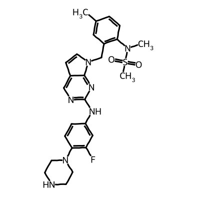 Cc1ccc(N(C)S(C)(=O)=O)c(Cn2ccc3cnc(Nc4ccc(N5CCNCC5)c(F)c4)nc32)c1